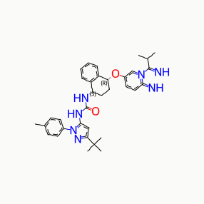 Cc1ccc(-n2nc(C(C)(C)C)cc2NC(=O)N[C@H]2CC[C@@H](Oc3ccc(=N)n(C(=N)C(C)C)c3)c3ccccc32)cc1